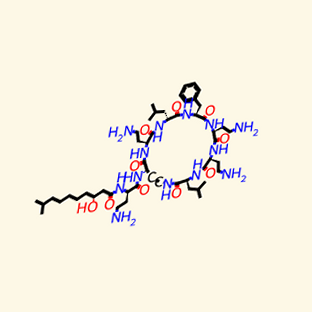 CC(C)CCCCC[C@@H](O)CC(=O)N[C@H](CCN)C(=O)N[C@H]1CCNC(=O)[C@H](CC(C)C)NC(=O)[C@H](CCN)NC(=O)[C@H](CCN)NC(=O)[C@H](Cc2ccccc2)NC(=O)[C@@H](CC(C)C)NC(=O)[C@H](CCN)NC1=O